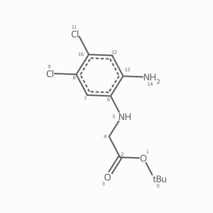 CC(C)(C)OC(=O)CNc1cc(Cl)c(Cl)cc1N